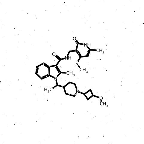 COC1CC(N2CCC(C(C)n3c(C)c(C(=O)NCc4c(SC)cc(C)[nH]c4=O)c4ccccc43)CC2)C1